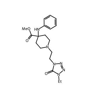 CCn1nnn(CCN2CCC(Nc3ccccc3)(C(=O)OC)CC2)c1=O